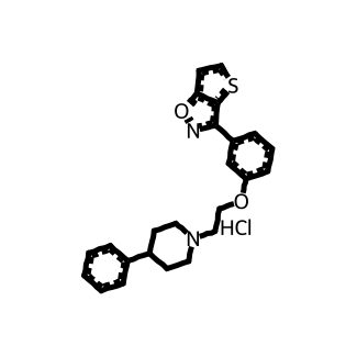 Cl.c1ccc(C2CCN(CCOc3cccc(-c4noc5ccsc45)c3)CC2)cc1